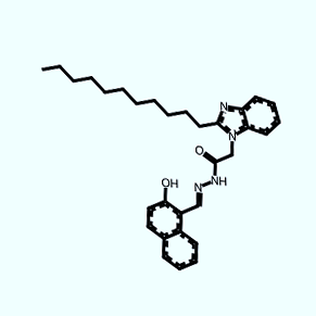 CCCCCCCCCCCc1nc2ccccc2n1CC(=O)NN=Cc1c(O)ccc2ccccc12